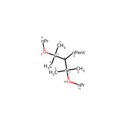 CCCCCC([Si](C)(C)OCCC)[Si](C)(C)OCCC